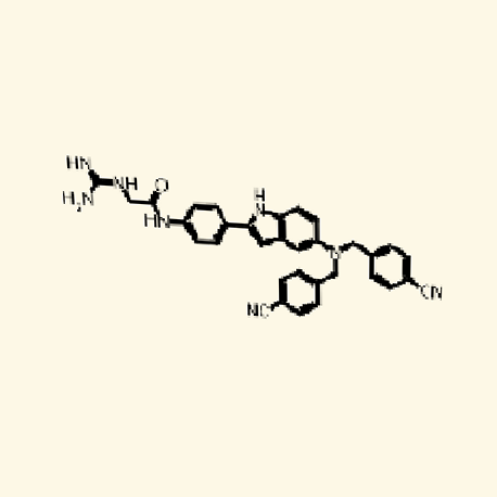 N#Cc1ccc(CN(Cc2ccc(C#N)cc2)c2ccc3[nH]c(-c4ccc(NC(=O)CNC(=N)N)cc4)cc3c2)cc1